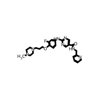 CN1CCN(CCCOc2ccc(Nc3ncc(C(=O)NCc4ccccn4)cn3)cc2F)CC1